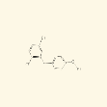 CCOc1ccc(Cc2cc(CC)ccc2Cl)cc1